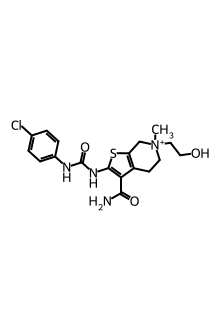 C[N+]1(CCO)CCc2c(sc(NC(=O)Nc3ccc(Cl)cc3)c2C(N)=O)C1